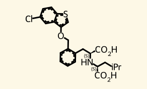 CC(C)C[C@H](N[C@@H](Cc1ccccc1COc1csc2ccc(Cl)cc12)C(=O)O)C(=O)O